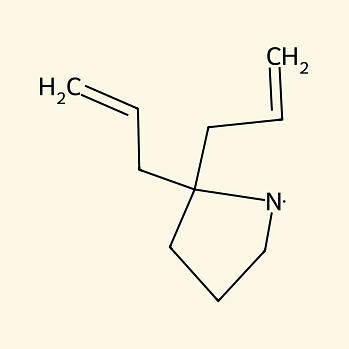 C=CCC1(CC=C)CCC[N]1